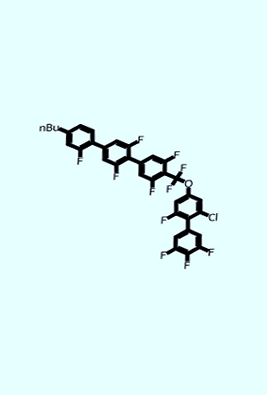 CCCCc1ccc(-c2cc(F)c(-c3cc(F)c(C(F)(F)Oc4cc(F)c(-c5cc(F)c(F)c(F)c5)c(Cl)c4)c(F)c3)c(F)c2)c(F)c1